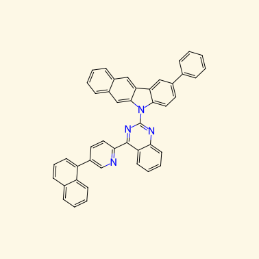 c1ccc(-c2ccc3c(c2)c2cc4ccccc4cc2n3-c2nc(-c3ccc(-c4cccc5ccccc45)cn3)c3ccccc3n2)cc1